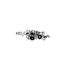 CC(C)C(=O)Nc1cccc(C(=O)N[C@H](C(=O)N2[C@@H]3CC[C@@H](C3)[C@H]2C(=O)NC(C=O)CC(=O)O)C(C)(C)C)c1Cl